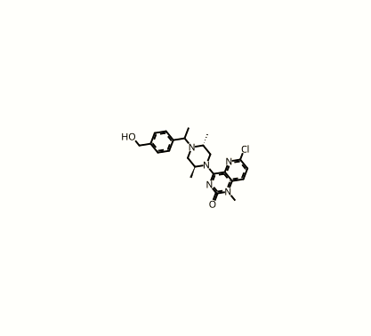 CC(c1ccc(CO)cc1)N1C[C@H](C)N(c2nc(=O)n(C)c3ccc(Cl)nc23)C[C@H]1C